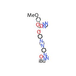 CCC(C)n1ncn(-c2ccc(N3CCN(c4ccc(OC[C@@H]5CO[C@@](Cn6nccn6)(C6C=CC(OC)=CC6)O5)cc4)CC3)cc2)c1=O